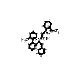 Cc1ccccc1-c1cccnc1C(Cc1ccccc1)NC(O)Cn1nc(C(F)(F)F)c2c1CCCC2